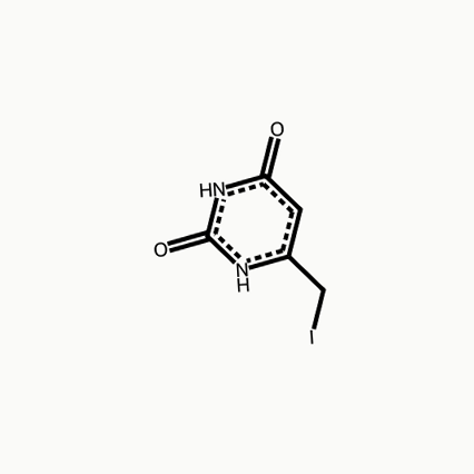 O=c1cc(CI)[nH]c(=O)[nH]1